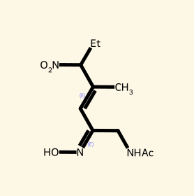 CCC(/C(C)=C/C(CNC(C)=O)=N\O)[N+](=O)[O-]